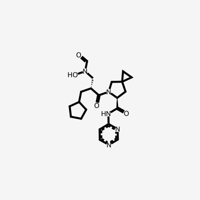 O=CN(O)C[C@@H](CC1CCCC1)C(=O)N1CC2(CC2)C[C@H]1C(=O)Nc1ccncn1